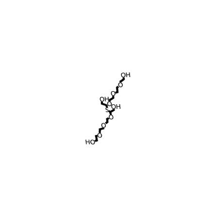 OCCOCCOCCOC(CO)SC(CO)OCCOCCOCCO